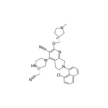 CN1CC[C@@H](COc2nc3c(c(N4CCN[C@@H](CC#N)C4)c2C#N)CCN(c2cccc4cccc(Cl)c24)C3)C1